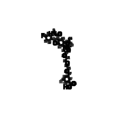 CNC(=O)c1c(-c2ccc(F)cc2)oc2cc(N(CCOCCOCCOCc3cc(C)cc(C(=O)O)c3)S(C)(=O)=O)c(C3CC3)cc12